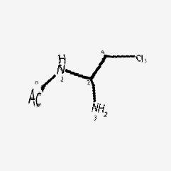 CC(=O)NC(N)CCl